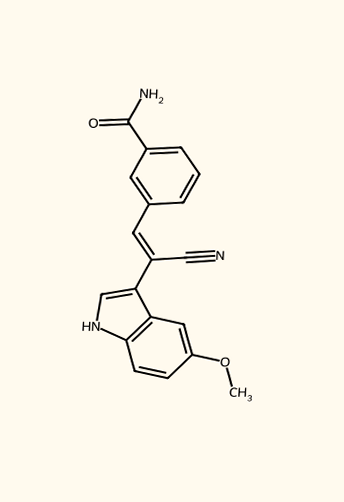 COc1ccc2[nH]cc(/C(C#N)=C/c3cccc(C(N)=O)c3)c2c1